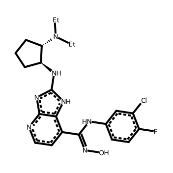 CCN(CC)[C@H]1CCC[C@@H]1Nc1nc2nccc(/C(=N/O)Nc3ccc(F)c(Cl)c3)c2[nH]1